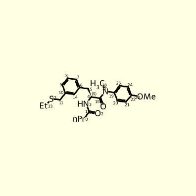 CCCC(=O)N[C@@H](Cc1cccc(CSCC)c1)C(=O)N(C)c1ccc(OC)cc1